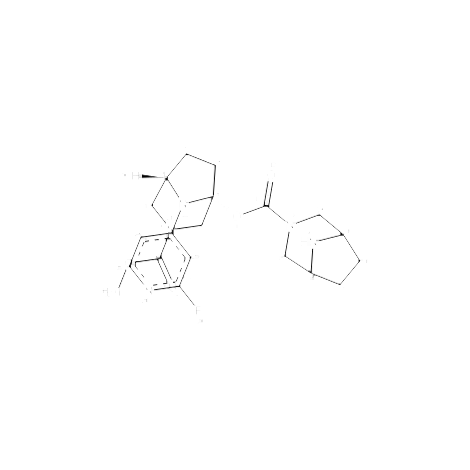 CC(C)(C)OC(=O)N1C[C@@H]2CC[C@@](OC(=O)N3CC4CCC(C3)N4)(C1)N2c1ccnc(F)c1